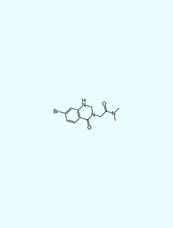 CN(C)C(=O)CN1CNc2cc(Br)ccc2C1=O